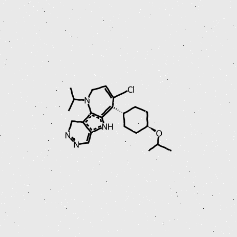 CC(C)O[C@H]1CC[C@H](C2=c3[nH]c4c(c3N(C(C)C)CC=C2Cl)CN=NC=4)CC1